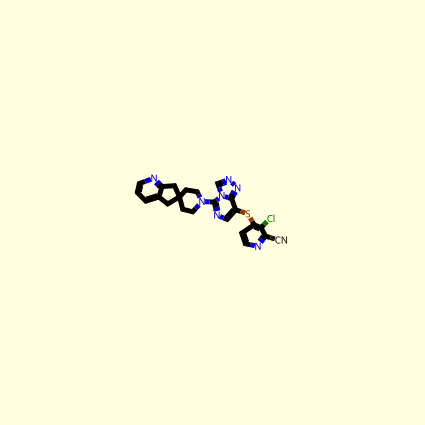 N#Cc1nccc(Sc2cnc(N3CCC4(CC3)Cc3cccnc3C4)n3cnnc23)c1Cl